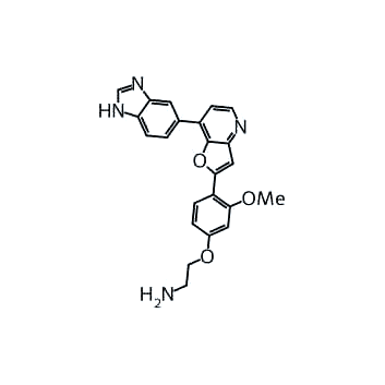 COc1cc(OCCN)ccc1-c1cc2nccc(-c3ccc4[nH]cnc4c3)c2o1